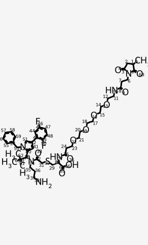 CC1CC(=O)N(CCC(=O)NCCOCCOCCOCCOCCC(=O)N[C@H](CSCC(=O)N(CCCN)[C@@H](c2cc(-c3cc(F)ccc3F)cn2Cc2ccccc2)C(C)(C)C)C(=O)O)C1=O